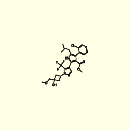 COCC1(O)CC(n2ncc(-c3[nH]c(CC(C)C)c(-c4ccccc4Cl)c3C(=O)OC)c2C(F)(F)F)C1